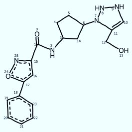 O=C(NC1CCC(N2NNC=C2CO)C1)c1cc(-c2ccccc2)on1